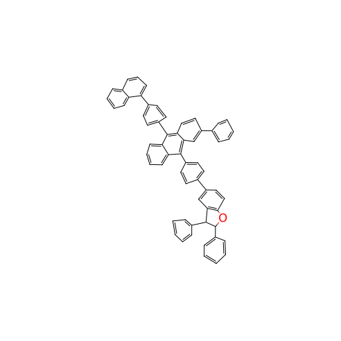 c1ccc(-c2ccc3c(-c4ccc(-c5cccc6ccccc56)cc4)c4ccccc4c(-c4ccc(-c5ccc6c(c5)C(c5ccccc5)C(c5ccccc5)O6)cc4)c3c2)cc1